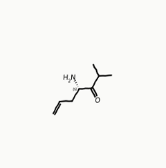 C=CC[C@H](N)C(=O)C(C)C